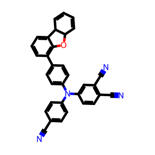 N#Cc1ccc(N(c2ccc(-c3cccc4c3OC3C=CC=CC43)cc2)c2ccc(C#N)c(C#N)c2)cc1